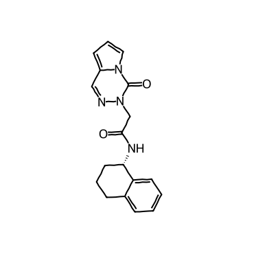 O=C(Cn1ncc2cccn2c1=O)N[C@H]1CCCc2ccccc21